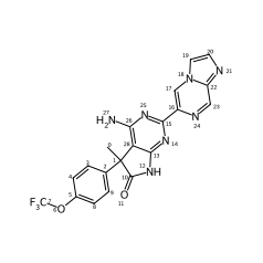 CC1(c2ccc(OC(F)(F)F)cc2)C(=O)Nc2nc(-c3cn4ccnc4cn3)nc(N)c21